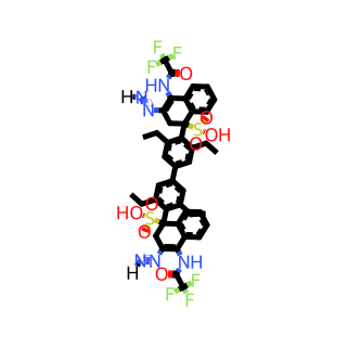 [H]/N=N/C1=C(NC(=O)C(F)(F)F)c2ccccc2C(c2c(CC)cc(-c3cc(CC)c(C4(S(=O)(=O)O)CC(/N=N/[H])=C(NC(=O)C(F)(F)F)c5ccccc54)c(CC)c3)cc2CC)(S(=O)(=O)O)C1